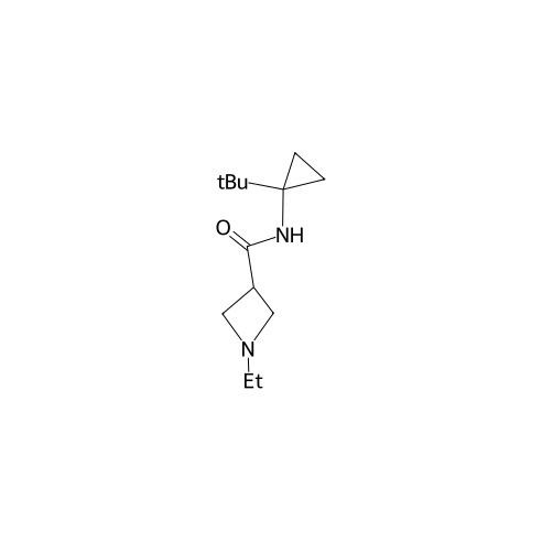 CCN1CC(C(=O)NC2(C(C)(C)C)CC2)C1